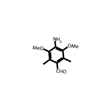 COc1c(C)c(C=O)c(C)c(OC)c1N